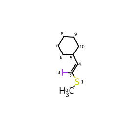 CSC(I)=CC1CCCCC1